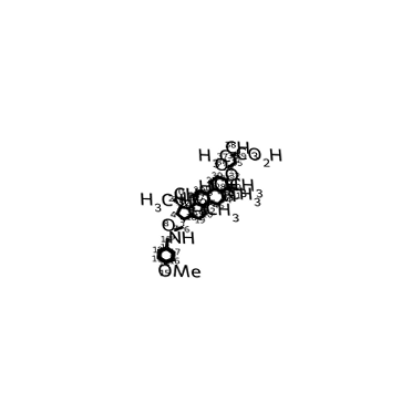 C=C(C)[C@@H]1C[C@@H](CC(=O)NCc2ccc(OC)cc2)C2CC[C@]3(C)[C@H](CC[C@@H]4[C@@]5(C)CC[C@H](OC(=O)CC(C)(C)C(=O)O)C(C)(C)[C@@H]5CC[C@]43C)[C@H]21